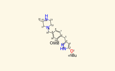 CCCCOc1cc(Cc2ccc(CN3CCNC(C)C3)cc2OC)n[nH]1